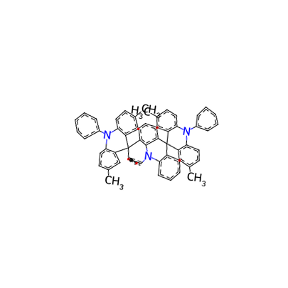 Cc1ccc2c(c1)C1(c3cc(C)ccc3N2c2ccccc2)c2ccccc2N2c3ccccc3C3(c4cc(C)ccc4N(c4ccccc4)c4ccc(C)cc43)c3cccc1c32